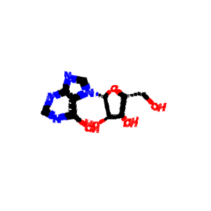 OC[C@H]1O[C@@H](n2cnc3ncnc(O)c32)[C@H](O)[C@@H]1O